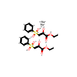 CCOC(=O)C([O-])=CS(=O)(=O)c1ccccc1.CCOC(=O)C([O-])=CS(=O)(=O)c1ccccc1.[Na+].[Na+]